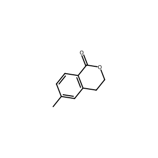 Cc1ccc2c(c1)CCOC2=O